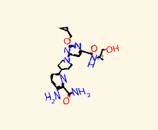 C[C@H](CO)NC(=O)c1cc(N2CCC(c3ccc(N)c(C(N)=O)n3)CC2)nc(OCC2CC2)n1